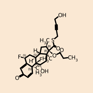 CCC(=O)O[C@]1(C(=O)SCC#CCO)[C@H](C)C[C@H]2[C@@H]3C[C@H](F)C4=CC(=O)C=C[C@]4(C)[C@@]3(F)[C@@H](O)C[C@@]21C